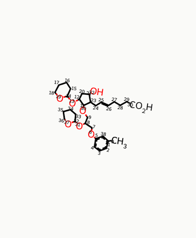 Cc1cccc(OCC(COC2C(OC3CCCCO3)CC(O)C2CC=CCCCC(=O)O)OC2CCCCO2)c1